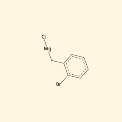 [Cl][Mg][CH2]c1ccccc1Br